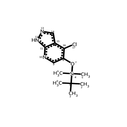 CC(C)(C)[Si](C)(C)Oc1cnc2[nH]ncc2c1Cl